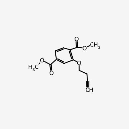 C#CCCOc1cc(C(=O)OC)ccc1C(=O)OC